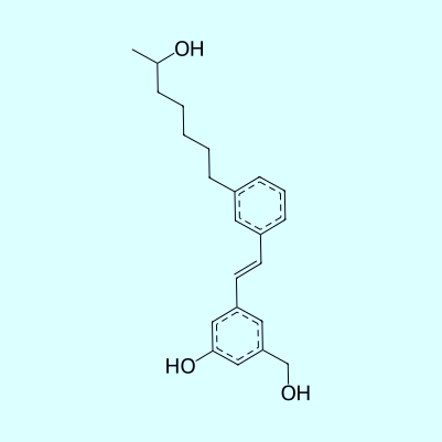 CC(O)CCCCCc1cccc(C=Cc2cc(O)cc(CO)c2)c1